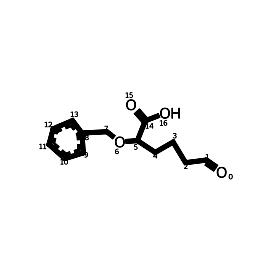 O=CCCCC(OCc1ccccc1)C(=O)O